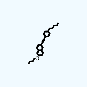 CCCCCc1ccc(C#Cc2ccc3cc(OCCCC)ccc3c2)cc1